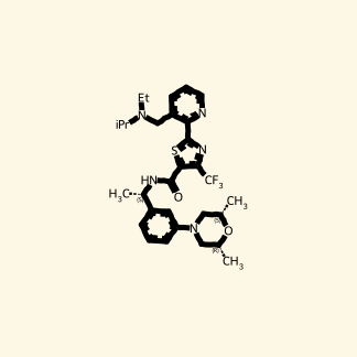 CCN(Cc1cccnc1-c1nc(C(F)(F)F)c(C(=O)N[C@@H](C)c2cccc(N3C[C@@H](C)O[C@@H](C)C3)c2)s1)C(C)C